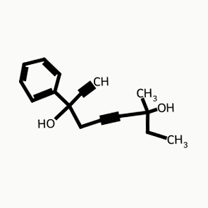 C#CC(O)(CC#CC(C)(O)CC)c1ccccc1